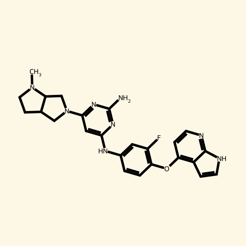 CN1CCC2CN(c3cc(Nc4ccc(Oc5ccnc6[nH]ccc56)c(F)c4)nc(N)n3)CC21